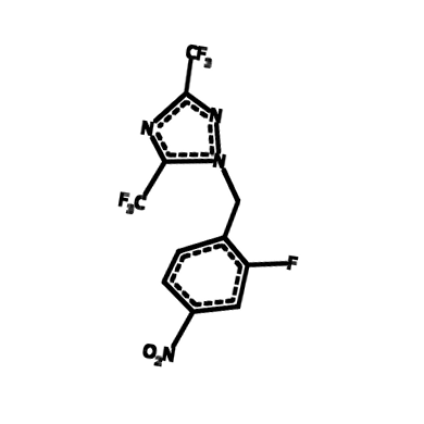 O=[N+]([O-])c1ccc(Cn2nc(C(F)(F)F)nc2C(F)(F)F)c(F)c1